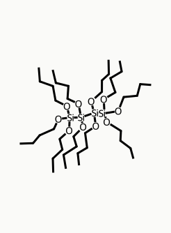 CCCCO[Si](OCCCC)(OCCCC)[Si](OCCCC)(OCCCC)[Si](OCCCC)(OCCCC)[Si](OCCCC)(OCCCC)OCCCC